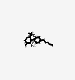 C=CCCCc1cc(O)c2c(c1)OC(C)(C)C1CCC(C)=C[C@@H]21